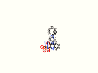 O=C(N[PH](=O)O)c1nc2ccccc2n(C2CCN(C3CCCCCCC3)CC2)c1=O